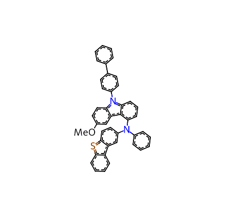 COc1ccc2c(c1)c1c(N(c3ccccc3)c3ccc4sc5ccccc5c4c3)cccc1n2-c1ccc(-c2ccccc2)cc1